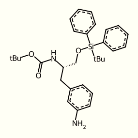 CC(C)(C)OC(=O)N[C@H](CO[Si](c1ccccc1)(c1ccccc1)C(C)(C)C)Cc1cccc(N)c1